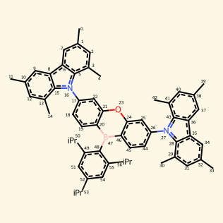 Cc1cc(C)c2c(c1)c1cc(C)cc(C)c1n2-c1ccc2c(c1)Oc1cc(-n3c4c(C)cc(C)cc4c4cc(C)cc(C)c43)ccc1B2c1c(C(C)C)cc(C(C)C)cc1C(C)C